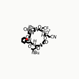 CCCCC(C)CC1NC(=O)C(Cc2ccccc2)N(C)C(=O)C(CC(C)C)N[C@](C=O)(CC(C)C)N(C)C(=O)[C@@H](CC(F)(F)F)NC(=O)[C@@H](CCC#N)OC(=O)C(C)N(C)C1=O